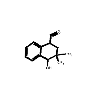 CC1(C)CC(C=O)c2ccccc2C1O